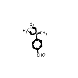 C=C[Si](C)(C=C)c1ccc([C]=O)cc1